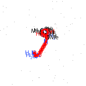 CO[C@H]1C[C@@H]2CC[C@@H](C)[C@@](O)(O2)C(=O)C(=O)N2CCCC[C@H]2C(=O)O[C@H]([C@H](N)C[C@@H]2CC[C@@H](OCCCCc3cn(CCOCCOCCOCCOCCOCCOCCOCCOCCC(=O)N4CCC(Cn5nc(-c6ccc7oc(N)nc7c6)c6c(N)ncnc65)CC4)nn3)[C@H](OC)C2)CC(=O)[C@H](C)/C=C(\C)[C@@H](O)[C@@H](O)C(=O)[C@H](C)C[C@H](C)/C=C/C=C/C=C/1C